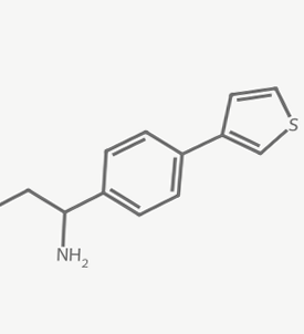 CCC(N)c1ccc(-c2ccsc2)cc1